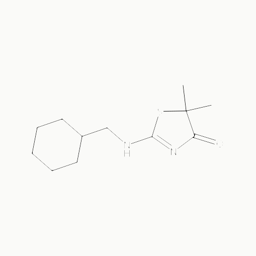 CC1(C)SC(NCC2CCCCC2)=NC1=O